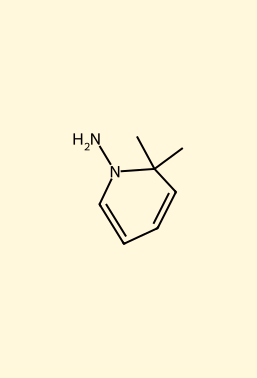 CC1(C)C=CC=CN1N